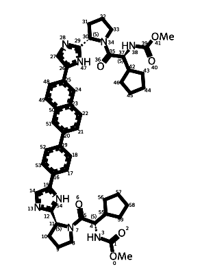 COC(=O)N[C@H](C(=O)N1CCC[C@H]1c1ncc(-c2ccc(-c3ccc4cc(-c5cnc([C@@H]6CCCN6C(=O)[C@@H](NC(=O)OC)C6CCCC6)[nH]5)ccc4c3)cc2)[nH]1)C1CCCC1